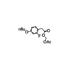 CCCCOc1ccc(CC(=O)OCOC(C)=O)c(F)c1